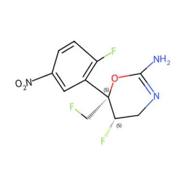 NC1=NC[C@H](F)[C@@](CF)(c2cc([N+](=O)[O-])ccc2F)O1